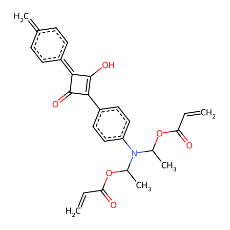 C=CC(=O)OC(C)N(c1ccc(C2=C(O)C(=c3ccc(=C)cc3)C2=O)cc1)C(C)OC(=O)C=C